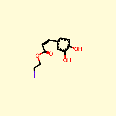 O=C(/C=C\c1ccc(O)c(O)c1)OCCI